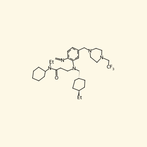 C=Nc1ccc(CN2CCN(CC(F)(F)F)CC2)cc1N(CCC(=O)N(CC)C1CCCCC1)C[C@H]1CC[C@H](CC)CC1